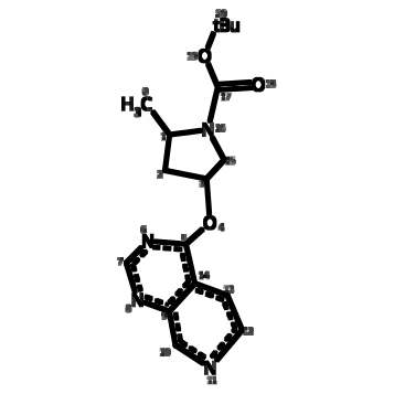 CC1CC(Oc2ncnc3cnccc23)CN1C(=O)OC(C)(C)C